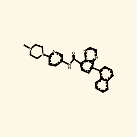 CN1CCN(c2ccc(NC(=O)c3ccc(-c4cccc5ccccc45)c4nccnc34)cn2)CC1